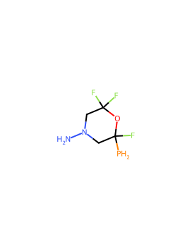 NN1CC(F)(F)OC(F)(P)C1